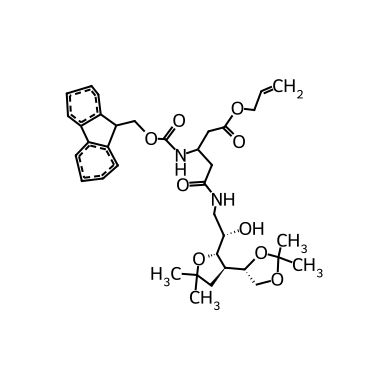 C=CCOC(=O)CC(CC(=O)NC[C@H](O)[C@H]1OC(C)(C)C[C@@H]1[C@H]1COC(C)(C)O1)NC(=O)OCC1c2ccccc2-c2ccccc21